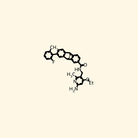 CCOc1cc(N)nc(C)c1CNC(=O)c1ccc2c(c1)C1OC2c2ccc(-c3c(C)cccc3F)cc21